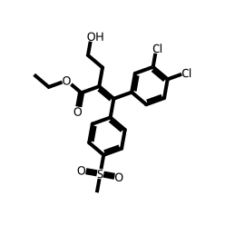 CCOC(=O)C(CCO)=C(c1ccc(S(C)(=O)=O)cc1)c1ccc(Cl)c(Cl)c1